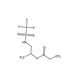 CCC(=O)OC(C)CNS(=O)(=O)C(F)(F)F